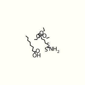 CCCCCCCC(=O)O.CCO[Si](CCCSC(N)=S)(OCC)OCC